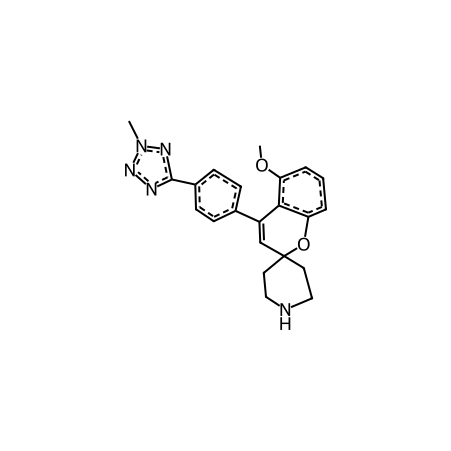 COc1cccc2c1C(c1ccc(-c3nnn(C)n3)cc1)=CC1(CCNCC1)O2